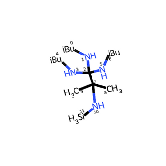 CCC(C)NC(NC(C)CC)(NC(C)CC)C(C)(C)N[SiH3]